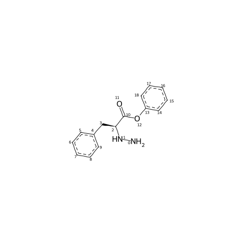 NN[C@@H](Cc1ccccc1)C(=O)Oc1ccccc1